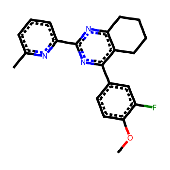 COc1ccc(-c2nc(-c3cccc(C)n3)nc3c2CCCC3)cc1F